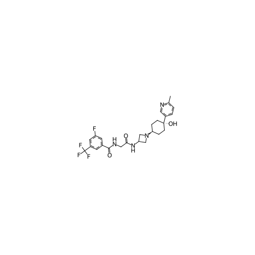 Cc1ccc([C@]2(O)CC[C@H](N3CC(NC(=O)CNC(=O)c4cc(F)cc(C(F)(F)F)c4)C3)CC2)cn1